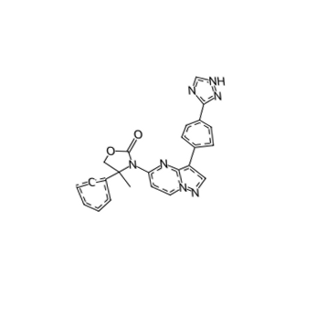 CC1(c2ccccc2)COC(=O)N1c1ccn2ncc(-c3ccc(-c4nc[nH]n4)cc3)c2n1